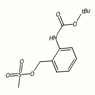 CC(C)(C)OC(=O)Nc1ccccc1COS(C)(=O)=O